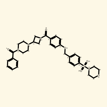 O=C(c1ccccc1)N1CCN(C2CN(C(=O)c3ccc(OCc4ccc(S(=O)(=O)N5CCOCC5)cc4)cc3)C2)CC1